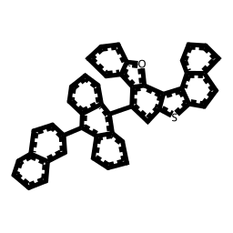 c1ccc2cc(-c3c4ccccc4c(-c4cc5sc6ccc7ccccc7c6c5c5oc6ccccc6c45)c4ccccc34)ccc2c1